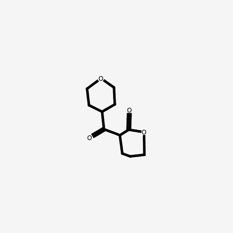 O=C1OCCCC1C(=O)C1CCOCC1